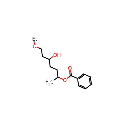 CCOCCC(O)CCC(OC(=O)c1cc[c]cc1)C(F)(F)F